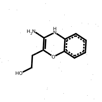 NC1=C(CCO)Oc2ccccc2N1